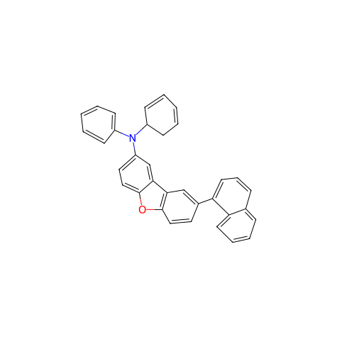 C1=CCC(N(c2ccccc2)c2ccc3oc4ccc(-c5cccc6ccccc56)cc4c3c2)C=C1